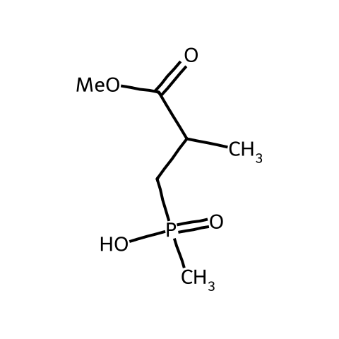 COC(=O)C(C)CP(C)(=O)O